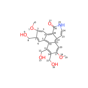 COc1cc2c(cc1CO)c1c(CO)c(CO)c(OC)cc1c1cc[nH]c(=O)c12